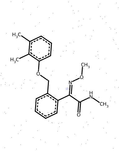 CNC(=O)/C(=N\OC)c1ccccc1COc1cccc(C)c1C